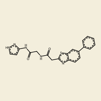 O=C(Cc1nc2ccc(-c3ccccc3)cc2s1)NCC(=O)Nc1cc[nH]n1